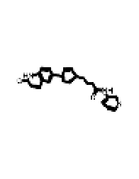 O=C(CCCc1ccc(-c2ccc3[nH]c(=O)ccc3c2)cc1)Nc1cccnc1